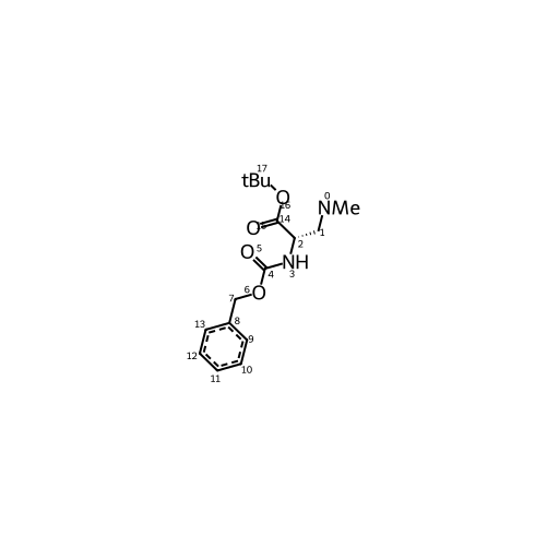 CNC[C@H](NC(=O)OCc1ccccc1)C(=O)OC(C)(C)C